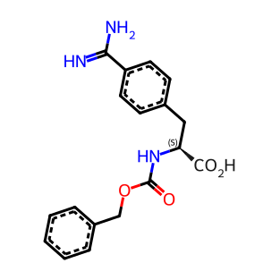 N=C(N)c1ccc(C[C@H](NC(=O)OCc2ccccc2)C(=O)O)cc1